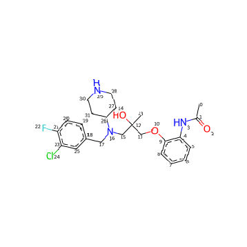 CC(=O)Nc1ccccc1OCC(C)(O)CN(Cc1ccc(F)c(Cl)c1)C1CCNCC1